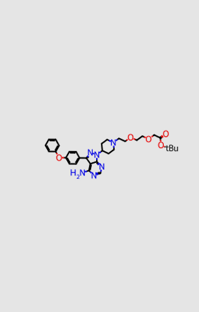 CC(C)(C)OC(=O)COCCOCCN1CCC(n2nc(-c3ccc(Oc4ccccc4)cc3)c3c(N)ncnc32)CC1